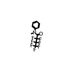 CN(C(=O)C(F)(F)C(F)(F)C(F)(F)F)c1ccccc1